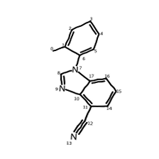 Cc1ccccc1-n1cnc2c(C#N)cccc21